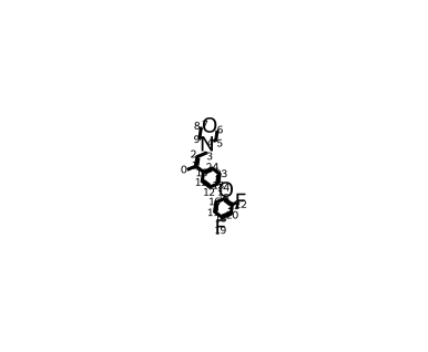 CC(=CCN1CCOCC1)c1ccc(Oc2ccc(F)cc2F)cc1